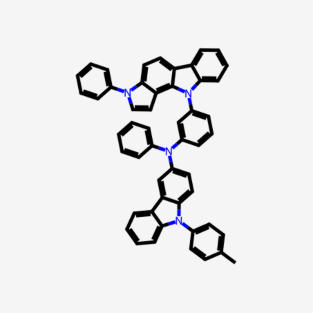 Cc1ccc(-n2c3ccccc3c3cc(N(c4ccccc4)c4cccc(-n5c6ccccc6c6ccc7c(ccn7-c7ccccc7)c65)c4)ccc32)cc1